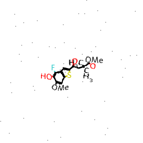 COC(=O)C(C)(C)CC(=O)c1cc2c(F)c(O)c(OC)cc2s1